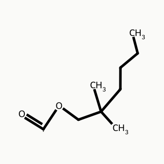 CCCCC(C)(C)CO[C]=O